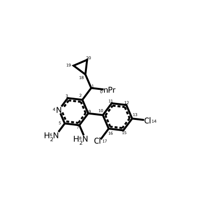 CCCC(c1cnc(N)c(N)c1-c1ccc(Cl)cc1Cl)C1CC1